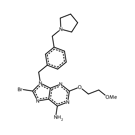 COCCOc1nc(N)c2nc(Br)n(Cc3cccc(CN4CCCC4)c3)c2n1